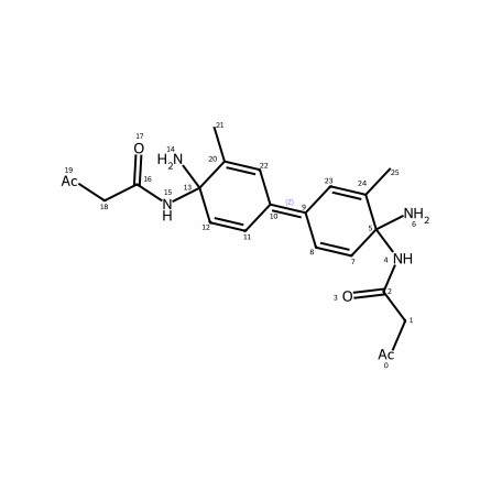 CC(=O)CC(=O)NC1(N)C=C/C(=C2\C=CC(N)(NC(=O)CC(C)=O)C(C)=C2)C=C1C